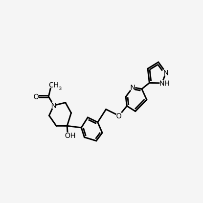 CC(=O)N1CCC(O)(c2cccc(COc3ccc(C4=C=C=NN4)nc3)c2)CC1